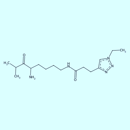 CCn1cc(CCC(=O)NCCCCC(N)C(=O)C(C)C)nn1